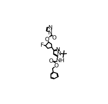 CC(C)(C)n1nc(C2CC(F)C(OC(=O)n3ccnc3)C2)cc1NC(=O)OCc1ccccc1